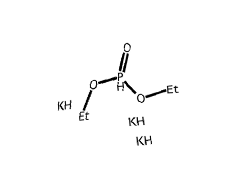 CCO[PH](=O)OCC.[KH].[KH].[KH]